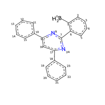 Bc1ccccc1-c1nc(-c2ccccc2)cc(-c2ccccc2)n1